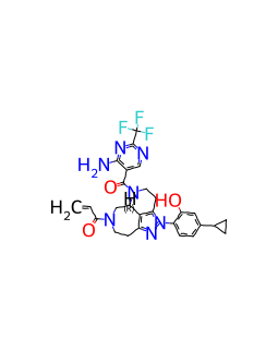 C=CC(=O)N1CCc2nn(-c3ccc(C4CC4)cc3O)c3c2[C@H](C1)N(C(=O)c1cnc(C(F)(F)F)nc1N)CC3